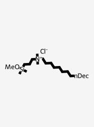 CCCCCCCCCCCCCCCCCC[N+](C)(C)CCC[Si](C)(C)OC.[Cl-]